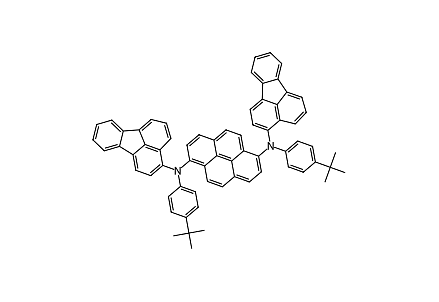 CC(C)(C)c1ccc(N(c2ccc3c4c(cccc24)-c2ccccc2-3)c2ccc3ccc4c(N(c5ccc(C(C)(C)C)cc5)c5ccc6c7c(cccc57)-c5ccccc5-6)ccc5ccc2c3c54)cc1